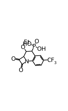 CCOC1C2C(=O)C(=O)N2c2ccc(C(F)(F)F)cc2C1P(=O)(O)O